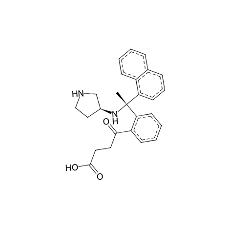 C[C@](N[C@H]1CCNC1)(c1ccccc1C(=O)CCC(=O)O)c1cccc2ccccc12